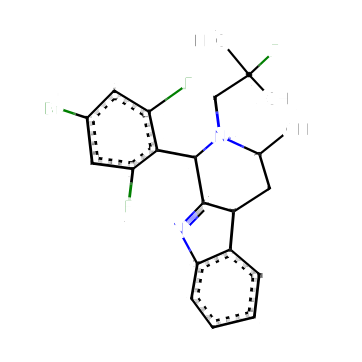 CC1CC2C(=Nc3ccccc32)C(c2c(F)cc(Br)cc2F)N1CC(C)(C)F